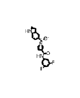 O=C(Nc1cc(F)cc(F)c1)c1ccn([S+]([O-])c2ccc3[nH]ccc3c2)c1